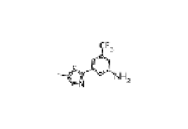 Cc1cnc(-c2cc(N)cc(C(F)(F)F)c2)s1